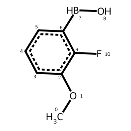 COc1cccc(BO)c1F